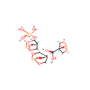 C1OP2OCC1CO2.C1OP2OCC1CO2.O=C(O)C12COP(OC1)OC2.O=P(O)(O)O